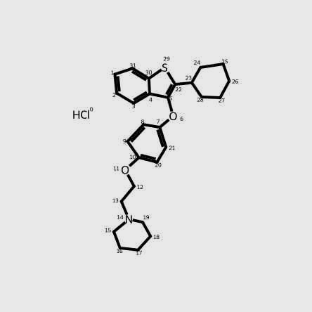 Cl.c1ccc2c(Oc3ccc(OCCN4CCCCC4)cc3)c(C3CCCCC3)sc2c1